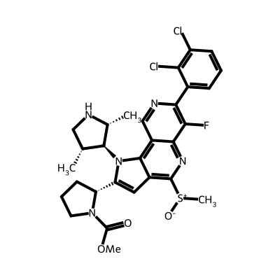 COC(=O)N1CCC[C@@H]1c1cc2c([S+](C)[O-])nc3c(F)c(-c4cccc(Cl)c4Cl)ncc3c2n1[C@H]1[C@H](C)CN[C@@H]1C